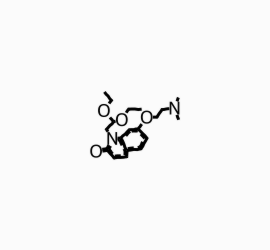 CCOC(Cn1c(=O)ccc2ccc(OCCN(C)C)cc21)OCC